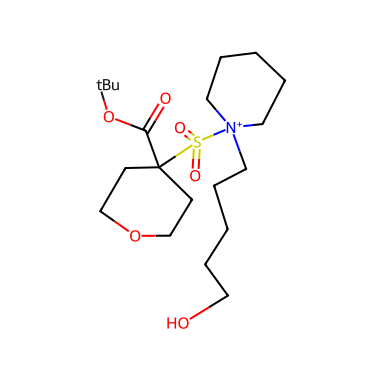 CC(C)(C)OC(=O)C1(S(=O)(=O)[N+]2(CCCCCO)CCCCC2)CCOCC1